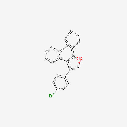 Brc1ccc(-c2coc3c4ccccc4c4ccccc4c23)cc1